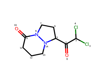 O=C(C(Cl)Cl)C1CCN2C(=O)CCCN12